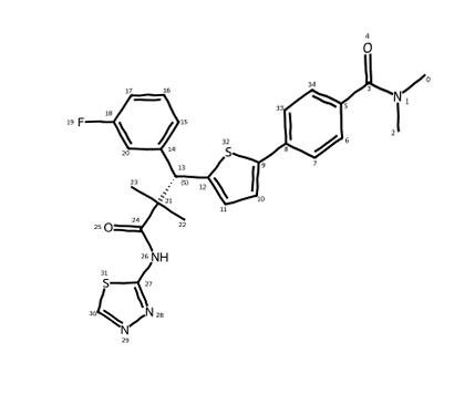 CN(C)C(=O)c1ccc(-c2ccc([C@@H](c3cccc(F)c3)C(C)(C)C(=O)Nc3nncs3)s2)cc1